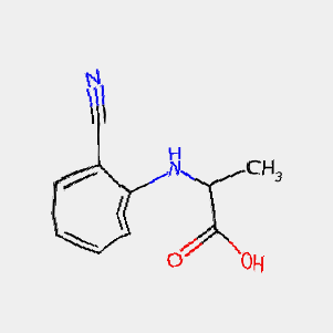 CC(Nc1ccccc1C#N)C(=O)O